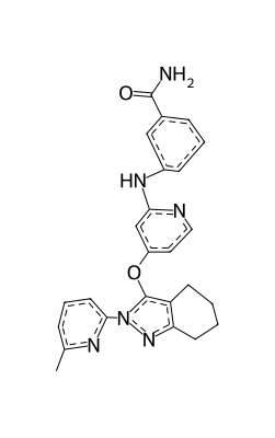 Cc1cccc(-n2nc3c(c2Oc2ccnc(Nc4cccc(C(N)=O)c4)c2)CCCC3)n1